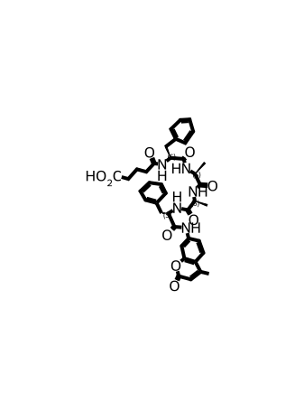 Cc1cc(=O)oc2cc(NC(=O)[C@H](Cc3ccccc3)NC(=O)[C@H](C)NC(=O)[C@H](C)NC(=O)[C@H](Cc3ccccc3)NC(=O)CCCC(=O)O)ccc12